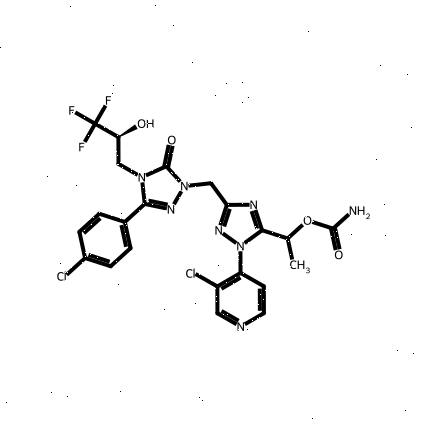 CC(OC(N)=O)c1nc(Cn2nc(-c3ccc(Cl)cc3)n(C[C@H](O)C(F)(F)F)c2=O)nn1-c1ccncc1Cl